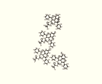 CN(C)C(=O)CN1CC(C(=O)c2ccccc2)C(c2ccc(Cl)cc2)C(C(=O)c2ccccc2)C1.CN(C)C(=O)CN1CC(C(=O)c2ccccc2)C(c2ccc(F)cc2)C(C(=O)c2ccccc2)C1.CN(C)C(=O)CN1CC(C(=O)c2ccccc2)C(c2cccc(F)c2)C(C(=O)c2ccccc2)C1.CN(C)C(=O)CN1CC(C(=O)c2ccccc2)C(c2ccccc2I)C(C(=O)c2ccccc2)C1